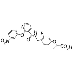 CC(Oc1ccc(CNC(=O)c2cccnc2Oc2cccc([N+](=O)[O-])c2)c(F)c1)C(=O)O